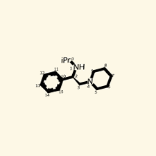 CC(C)N[C@@H](CN1CCCCC1)c1ccccc1